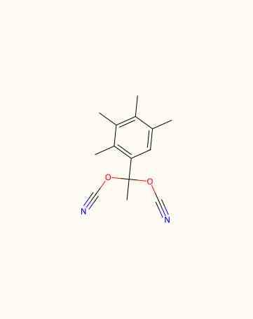 Cc1cc(C(C)(OC#N)OC#N)c(C)c(C)c1C